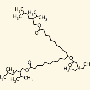 CCN(CC)CC(=O)OC(CCCCCCCCCC(=O)OCC(CCC(C)C)C(C)C)CCCCCCCCCC(=O)OCC(CCC(C)C)C(C)C